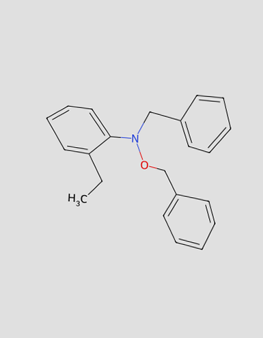 CCc1ccccc1N(Cc1ccccc1)OCc1ccccc1